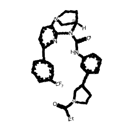 CCC(=O)N1CCC(c2cccc(NC(=O)N3c4nc(-c5cccc(C(F)(F)F)c5)ccc4N4CC[C@H]3C4)c2)C1